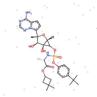 C[C@H](NP(=O)(Oc1ccc(C(C)(C)C)cc1)OC1[C@H]2O[C@@](C)(c3ccc4c(N)ncnn34)[C@H](O)[C@@]12O)C(=O)OC1CC(C)(C)C1